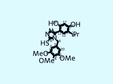 COc1cc(Cn2c(S)nnc2-c2cc(C(C)C)c(O)cc2O)cc(OC)c1OC